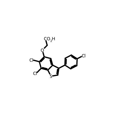 O=C(O)COc1cc2c(-c3ccc(Cl)cc3)csc2c(Cl)c1Cl